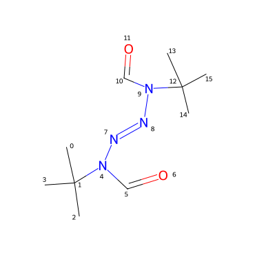 CC(C)(C)N(C=O)N=NN(C=O)C(C)(C)C